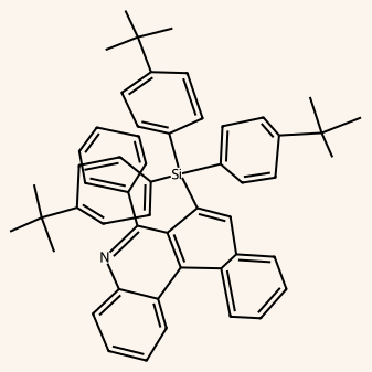 CC(C)(C)c1ccc([Si](c2ccc(C(C)(C)C)cc2)(c2ccc(C(C)(C)C)cc2)c2cc3ccccc3c3c2c(-c2ccccc2)nc2ccccc23)cc1